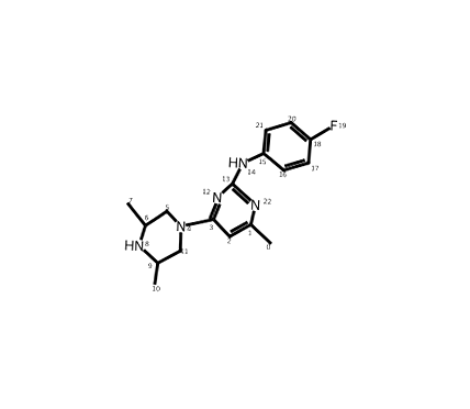 Cc1cc(N2CC(C)NC(C)C2)nc(Nc2ccc(F)cc2)n1